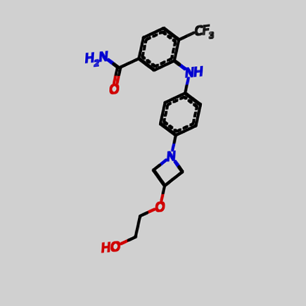 NC(=O)c1ccc(C(F)(F)F)c(Nc2ccc(N3CC(OCCO)C3)cc2)c1